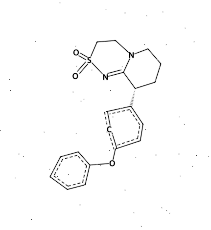 O=S1(=O)CCN2CCC[C@H](c3ccc(Oc4ccccc4)cc3)C2=N1